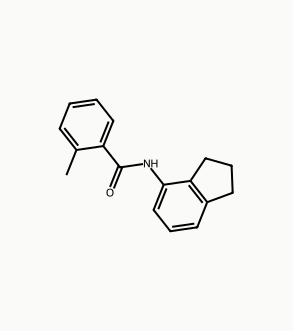 Cc1ccccc1C(=O)Nc1cccc2c1CCC2